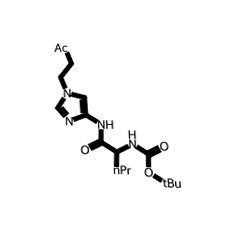 CCCC(NC(=O)OC(C)(C)C)C(=O)Nc1cn(CCC(C)=O)cn1